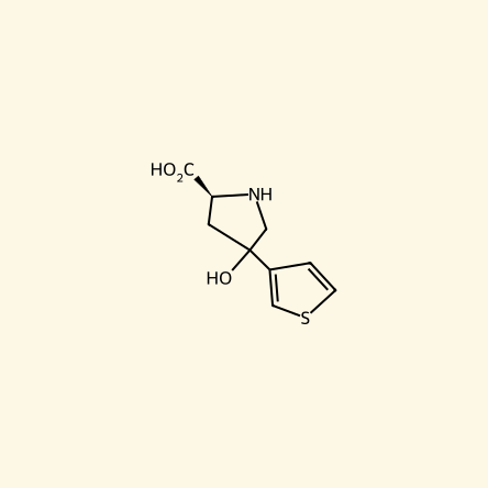 O=C(O)[C@@H]1CC(O)(c2ccsc2)CN1